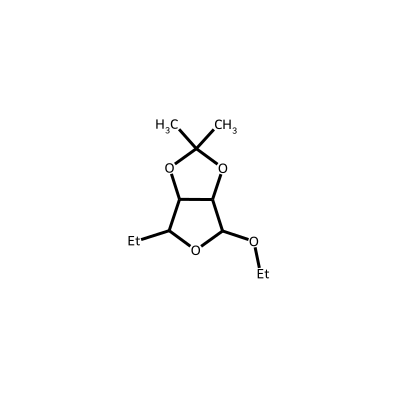 CCOC1OC(CC)C2OC(C)(C)OC12